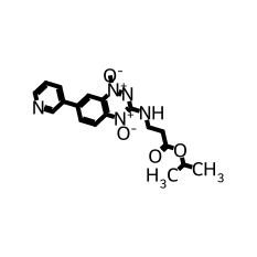 CC(C)OC(=O)CCNc1n[n+]([O-])c2cc(-c3cccnc3)ccc2[n+]1[O-]